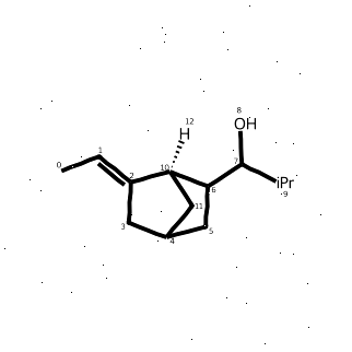 CC=C1CC2CC(C(O)C(C)C)[C@H]1C2